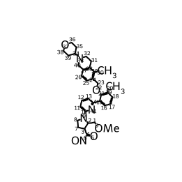 COCC1C(C(=O)N=O)CCN1c1cccc(-c2cccc(C)c2OCc2ccc3c(c2C)CCN(C2CCOCC2)C3)n1